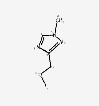 Cn1cnc(COI)n1